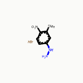 Br.COc1cc(NN)ccc1[N+](=O)[O-]